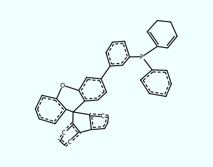 C1=CC(P(c2ccccc2)c2cccc(-c3ccc4c(c3)Oc3ccccc3C43c4ccccc4-c4ccccc43)c2)=CCC1